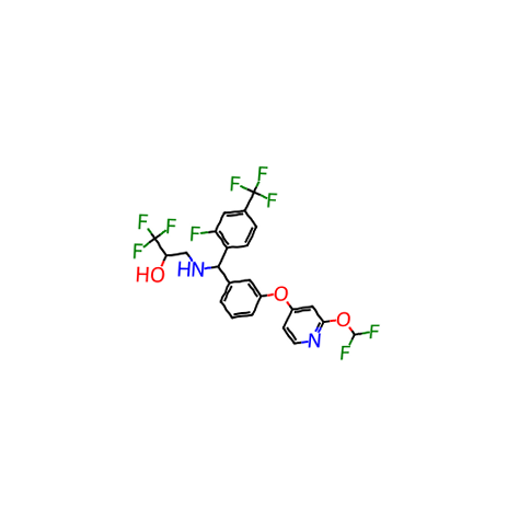 OC(CNC(c1cccc(Oc2ccnc(OC(F)F)c2)c1)c1ccc(C(F)(F)F)cc1F)C(F)(F)F